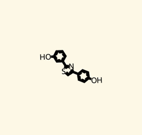 Oc1ccc(-c2csc(-c3cccc(O)c3)n2)cc1